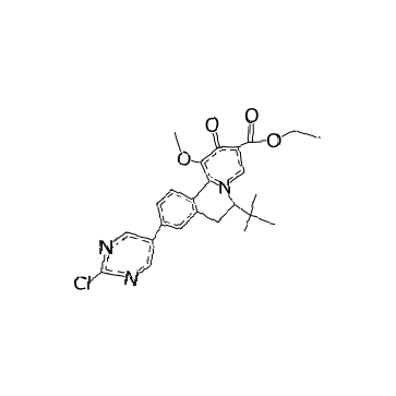 CCOC(=O)c1cn2c(c(OC)c1=O)-c1ccc(-c3cnc(Cl)nc3)cc1CC2C(C)(C)C